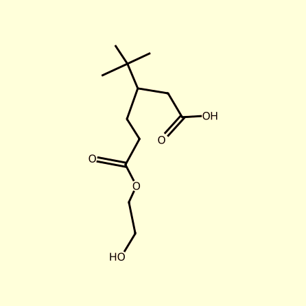 CC(C)(C)C(CCC(=O)OCCO)CC(=O)O